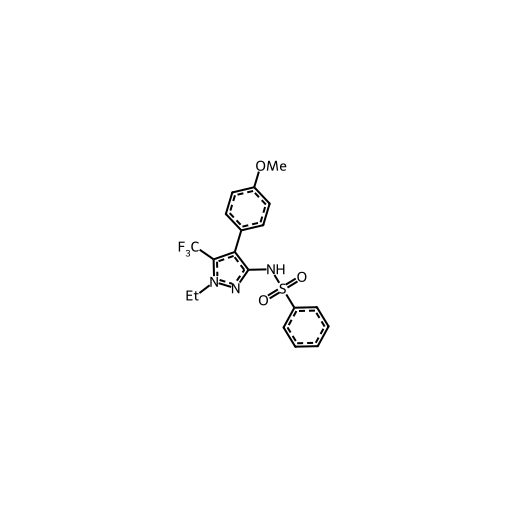 CCn1nc(NS(=O)(=O)c2ccccc2)c(-c2ccc(OC)cc2)c1C(F)(F)F